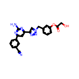 N#Cc1cccc(-c2cc(-c3cn(Cc4cccc(OC(=O)CO)c4)nn3)nc(N)n2)c1